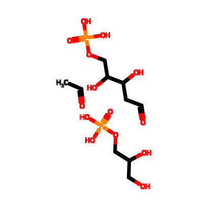 CC=O.O=CCC(O)C(O)COP(=O)(O)O.O=P(O)(O)OCC(O)CO